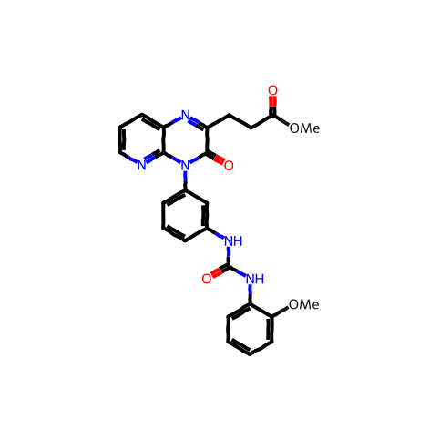 COC(=O)CCc1nc2cccnc2n(-c2cccc(NC(=O)Nc3ccccc3OC)c2)c1=O